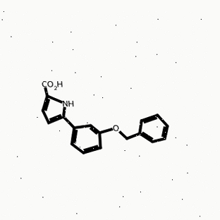 O=C(O)c1ccc(-c2cccc(OCc3ccccc3)c2)[nH]1